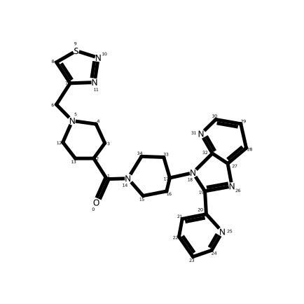 O=C(C1CCN(Cc2csnn2)CC1)N1CCC(n2c(-c3ccccn3)nc3cccnc32)CC1